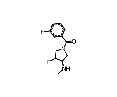 CN[C@@H]1CN(C(=O)c2cccc(F)c2)C[C@@H]1F